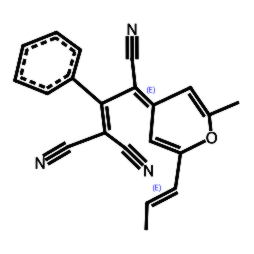 C/C=C/C1=CC(=C(/C#N)C(=C(C#N)C#N)c2ccccc2)/C=C(C)O1